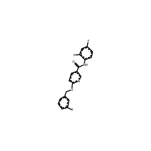 O=C(Nc1ccc(F)cc1F)c1ccc(OCc2cccc(F)c2)nc1